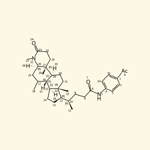 CC(=O)c1ccc(NC(=O)CC[C@@H](C)[C@H]2CC[C@H]3[C@@H]4C(C)C[C@H]5N(C)C(=O)CC[C@]5(C)[C@H]4CC[C@]23C)cc1